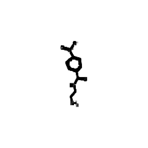 NCCNC(=O)c1ccc([N+](=O)[O-])cc1